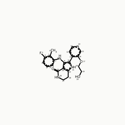 Cc1c(F)cccc1Nc1c(-c2ccncc2OCCO)[nH]c2c1C(=O)NCC2